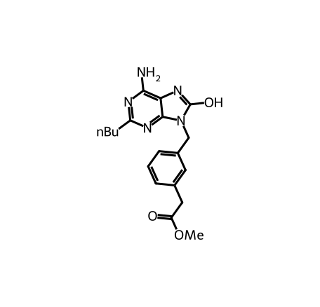 CCCCc1nc(N)c2nc(O)n(Cc3cccc(CC(=O)OC)c3)c2n1